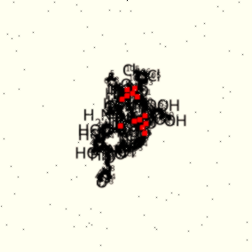 CN[C@H](CC(C)C)C(=O)N[C@H]1C(=O)N[C@@H](CC(N)=O)C(=O)NC2C(=O)N[C@H]3C(=O)N[C@H](C(=O)N[C@@H](NOCCN4CCOCC4)c4cc(O)cc(O)c4-c4cc3ccc4O)[C@H](O)c3ccc(c(Cl)c3)Oc3cc2cc(c3O[C@@H]2O[C@H](CO)[C@@H](O)[C@H](O)[C@H]2O[C@H]2C[C@](C)(NCCn3ccc(NC(=O)c4cc(Cl)cc(Cl)c4)nc3=O)[C@H](O)[C@H](C)O2)Oc2ccc(cc2Cl)[C@H]1O